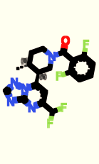 C[C@@H]1CCN(C(=O)c2c(F)cccc2F)C[C@H]1c1cc(C(F)F)nc2ncnn12